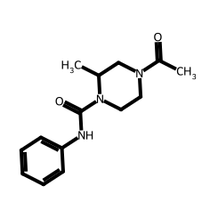 CC(=O)N1CCN(C(=O)Nc2ccccc2)C(C)C1